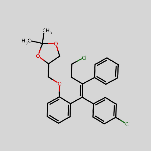 CC1(C)OCC(COc2ccccc2C(=C(CCCl)c2ccccc2)c2ccc(Cl)cc2)O1